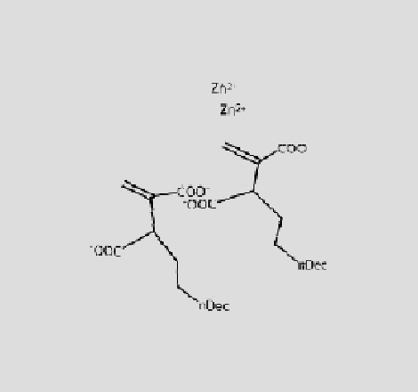 C=C(C(=O)[O-])C(CCCCCCCCCCCC)C(=O)[O-].C=C(C(=O)[O-])C(CCCCCCCCCCCC)C(=O)[O-].[Zn+2].[Zn+2]